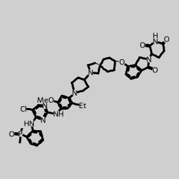 CCc1cc(Nc2ncc(Cl)c(Nc3ccccc3P(C)(C)=O)n2)c(OC)cc1N1CCC(N2CC[C@]3(CC[C@@H](Oc4cccc5c4CN(C4CCC(=O)NC4=O)C5=O)CC3)C2)CC1